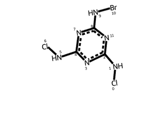 ClNc1nc(NCl)nc(NBr)n1